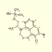 CC(CO[Si](C)(C)C(C)(C)C)N1CCOc2c(Cl)c(Br)cc3ncnc1c23